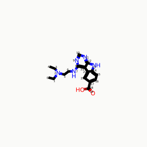 CCN(CC)CCNc1ncnc2[nH]c3ccc(C(=O)O)cc3c12